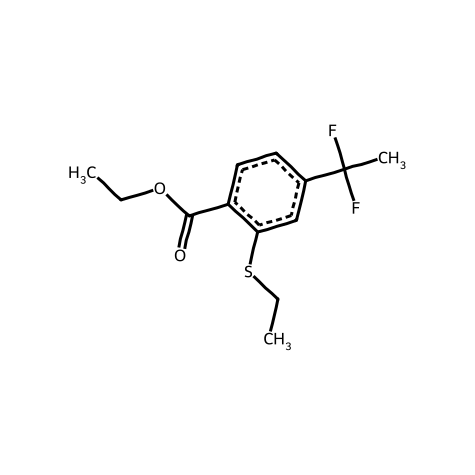 CCOC(=O)c1ccc(C(C)(F)F)cc1SCC